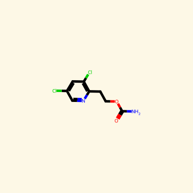 NC(=O)OCCc1ncc(Cl)cc1Cl